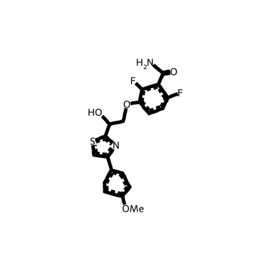 COc1ccc(-c2csc(C(O)COc3ccc(F)c(C(N)=O)c3F)n2)cc1